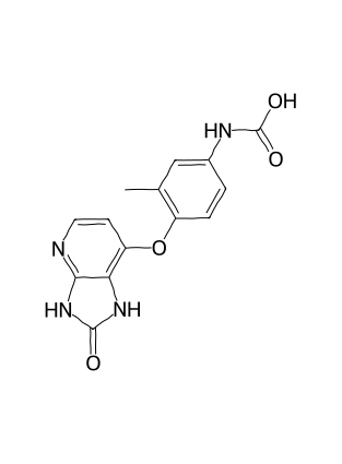 Cc1cc(NC(=O)O)ccc1Oc1ccnc2[nH]c(=O)[nH]c12